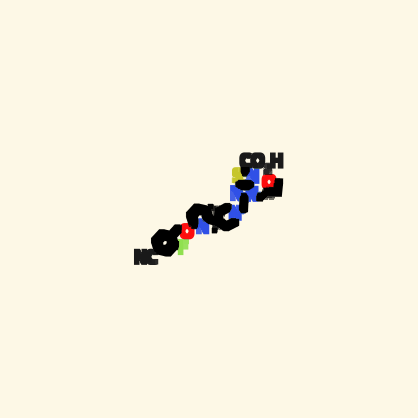 C[C@@H]1CN(Cc2nc3sc(C(=O)O)nc3n2C[C@@H]2CCO2)CC[C@@]1(C)c1cccc(OCc2ccc(C#N)cc2F)n1